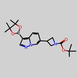 CC(C)(C)OC(=O)N1CC(c2ccc3c(B4OC(C)(C)C(C)(C)O4)cnn3c2)C1